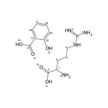 N=C(N)NCCCC(N)C(=O)O.O=C(O)c1ccccc1O